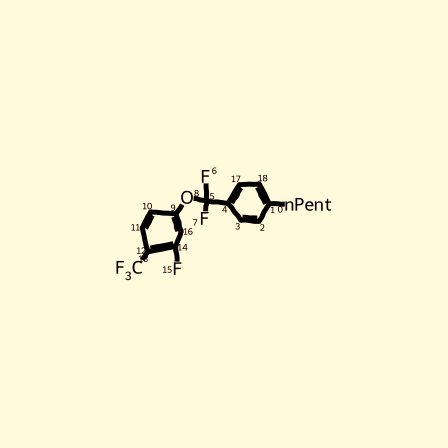 CCCCCc1ccc(C(F)(F)Oc2ccc(C(F)(F)F)c(F)c2)cc1